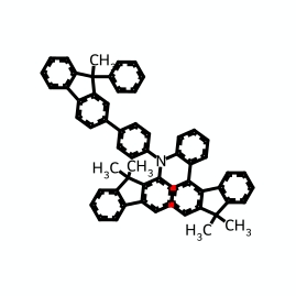 CC1(C)c2ccccc2-c2c(-c3ccccc3N(c3ccc(-c4ccc5c(c4)C(C)(c4ccccc4)c4ccccc4-5)cc3)c3cccc4c3C(C)(C)c3ccccc3-4)cccc21